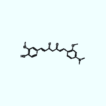 COc1cc(C=CC(=O)CC(=O)C=Cc2ccc(N(C)C)cc2OC)ccc1O